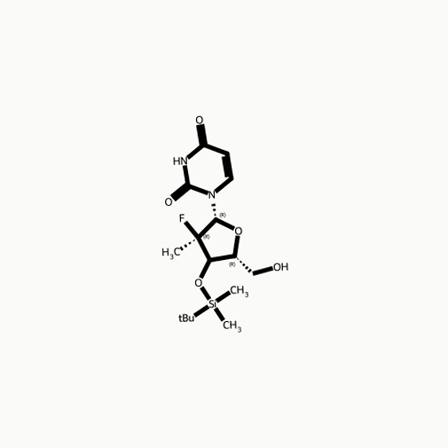 CC(C)(C)[Si](C)(C)OC1[C@@H](CO)O[C@@H](n2ccc(=O)[nH]c2=O)[C@]1(C)F